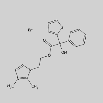 Cc1n(CCOC(=O)C(O)(c2ccccc2)c2cccs2)cc[n+]1C.[Br-]